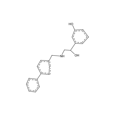 Oc1cccc(C(O)CNCc2ccc(-c3ccccc3)cc2)c1